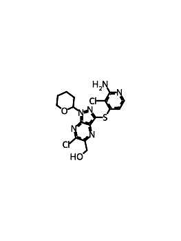 Nc1nccc(Sc2nn(C3CCCCO3)c3nc(Cl)c(CO)nc23)c1Cl